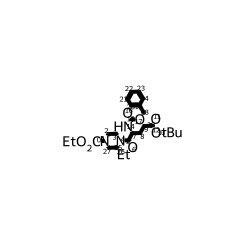 CCOC(=O)N1CCN(C(=O)C(CCC(=O)OC(C)(C)C)NC(=O)OCc2ccccc2)C(CC)C1